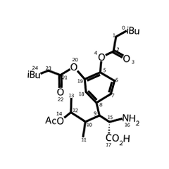 CCC(C)CC(=O)Oc1ccc(C(C(C)C(C)OC(C)=O)[C@H](N)C(=O)O)cc1OC(=O)CC(C)CC